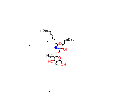 CCCCCCCCCCCCCCCCC(=O)NC(COC1OC(CO)C(N=O)C(O)C1C)C(O)CCCCCCCCCCCCC